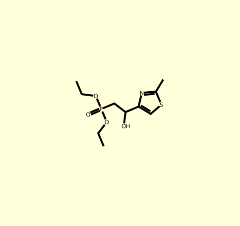 CCOP(=O)(CC(O)c1csc(C)n1)OCC